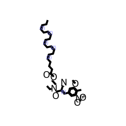 CC/C=C\C/C=C\C/C=C\C/C=C\C/C=C\CCCC(=O)OCCN(CC)C(=O)/C(C#N)=C/c1cc(OC)c(C)c([N+](=O)[O-])c1